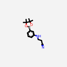 CC1(C)OB(c2cccc(NCCC#N)c2)OC1(C)C